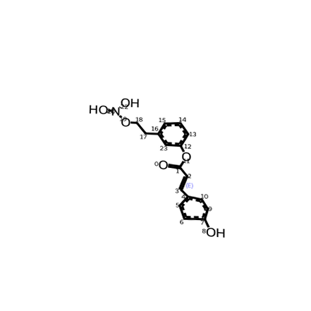 O=C(/C=C/c1ccc(O)cc1)Oc1cccc(CCON(O)O)c1